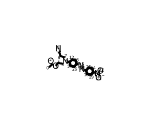 CC(=O)OCCN(CCC#N)c1ccc(/N=N/c2ccc([N+](=O)[O-])cc2)cc1